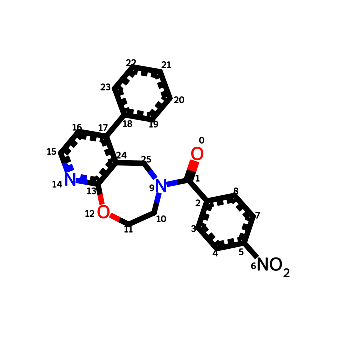 O=C(c1ccc([N+](=O)[O-])cc1)N1CCOc2nccc(-c3ccccc3)c2C1